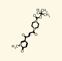 Cn1cc(C(=O)/C=C/C(=O)N2CCN(C(=O)OC(C)(C)C)CC2)ccc1=O